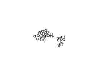 COc1cc(C(=O)NCCCCNC(=O)COc2c(-c3csc(N4CCOCC4)n3)ccc(F)c2F)ccc1NC(=O)[C@H]1NC(CC(C)(C)C)C(C#N)(c2ccc(Cl)cc2F)C1c1cccc(Cl)c1F